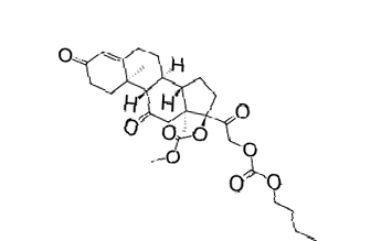 CCCCOC(=O)OCC(=O)[C@@]1(OC(=O)OC)CC[C@H]2[C@@H]3CCC4=CC(=O)CC[C@]4(C)[C@H]3C(=O)C[C@@]21C